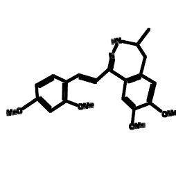 COc1ccc(C=CC2=NNC(C)Cc3cc(OC)c(OC)cc32)c(OC)c1